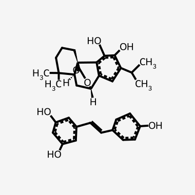 CC(C)c1cc2c(c(O)c1O)[C@@]13CCCC(C)(C)[C@@H]1C[C@@H]2OC3=O.Oc1ccc(/C=C/c2cc(O)cc(O)c2)cc1